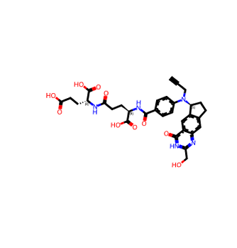 C#CCN(c1ccc(C(=O)N[C@H](CCC(=O)N[C@H](CCC(=O)O)C(=O)O)C(=O)O)cc1)[C@H]1CCc2cc3nc(CO)[nH]c(=O)c3cc21